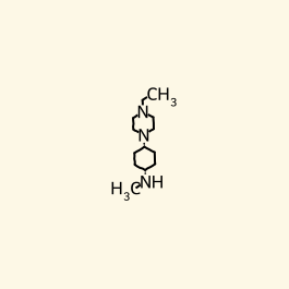 CCN1CCN([C@H]2CC[C@@H](NC)CC2)CC1